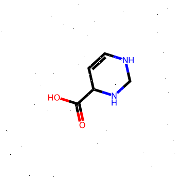 O=C(O)C1C=CNCN1